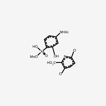 CO[As](=O)(O)c1ccc(NC(C)=O)cc1O.O=C(O)c1nc(Cl)ccc1Cl